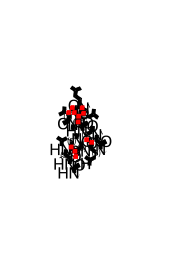 CC[C@H](NC(=O)[C@H]([C@@H]1OCC[C@H]1C)N(C)C(=O)[C@H](C(C)C)N(C)C(=O)[C@H](CC(C)C)N(C)C(=O)CCC(C)C)C(=O)N(C)CC(=O)N(C)[C@@H](CC(C)C)C(=O)N[C@H](C(=O)N(C)[C@@H](CC(C)C)C(=O)N[C@@H](C)C(=O)NC(=O)NC)C(C)C